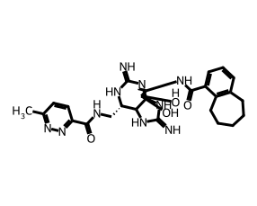 Cc1ccc(C(=O)NC[C@@H]2NC(=N)N3CC(NC(=O)c4cccc5c4CCCCC5)C(O)(O)C34NC(=N)NC24)nn1